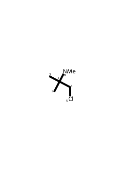 CNC(C)(C)CCl